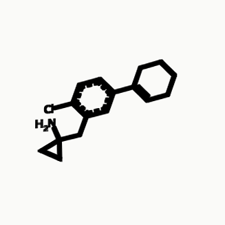 NC1(Cc2cc(C3=CCCCC3)ccc2Cl)CC1